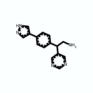 NCC(c1ccc(-c2cn[nH]c2)cc1)c1cncnc1